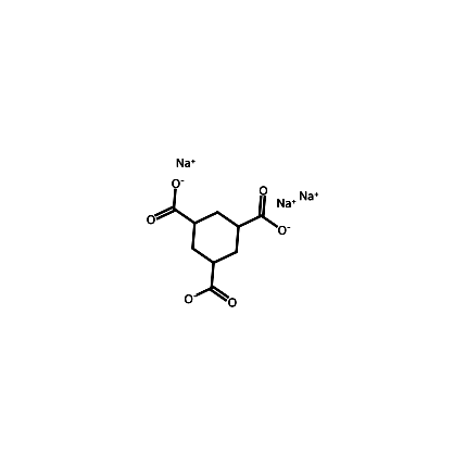 O=C([O-])C1CC(C(=O)[O-])CC(C(=O)[O-])C1.[Na+].[Na+].[Na+]